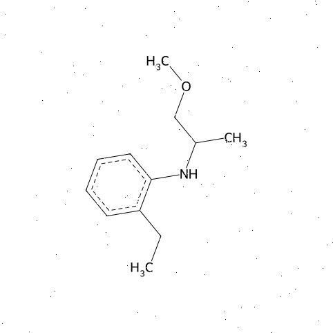 CCc1ccccc1NC(C)COC